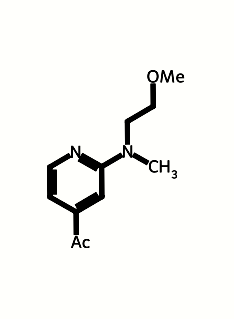 COCCN(C)c1cc(C(C)=O)ccn1